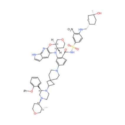 CC(C)Oc1ccccc1[C@@H]1CN([C@@H]2CCOC[C@H]2C)CCN1C1CC2(CCN(c3ccc(C(=O)NS(=O)(=O)c4ccc(NC[C@H]5CC[C@](C)(O)CC5)c([N+](=O)[O-])c4)c(N4c5cc6cc[nH]c6nc5O[C@H]5COCC[C@@H]54)c3)CC2)C1